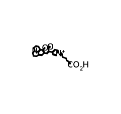 O=C(O)CCCCC[n+]1ccc(-c2cc3cc4c5c(c3oc2=O)CCCN5CCC4)cc1